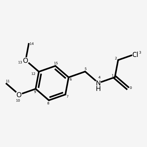 C=C(CCl)NCc1ccc(OC)c(OC)c1